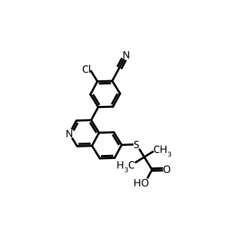 CC(C)(Sc1ccc2cncc(-c3ccc(C#N)c(Cl)c3)c2c1)C(=O)O